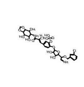 C/C(=C\c1ccc(OC2OC(C(C=N)OCc3cccc(Cl)c3)C(O)C2O)c(OP(=O)(O)O)c1)C(=O)NC1C(O)C(O)C2OCOC2C1O